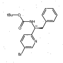 CC(C)(C)OC(=O)N[C@@H](Cc1ccccc1)c1ccc(Br)cn1